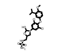 COc1ccc(Oc2c(Cl)cc(N3CC(CNS(N)(=O)=O)OC3O)cc2Cl)cc1C(C)C